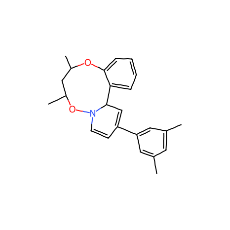 Cc1cc(C)cc(C2=CC3c4ccccc4OC(C)CC(C)ON3C=C2)c1